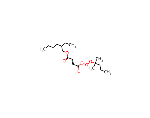 CCCCC(CC)COC(=O)C=CC(=O)OOOC(C)(C)CCC